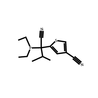 CCP(CC)C(C#N)(c1cc(C#N)cs1)C(C)C